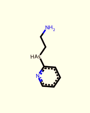 NCC[AsH]c1ccccn1